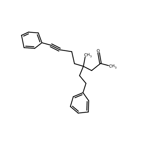 CC(=O)CC(C)(CCC#Cc1ccccc1)CCc1ccccc1